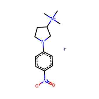 C[N+](C)(C)C1CCN(c2ccc([N+](=O)[O-])cc2)C1.[I-]